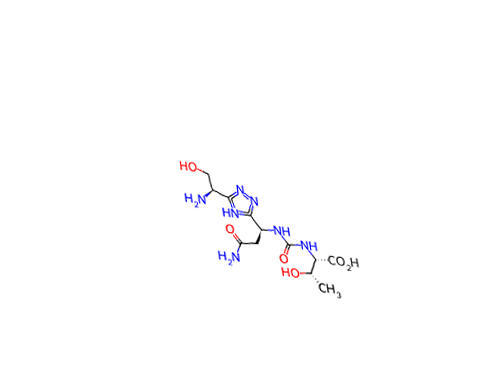 C[C@H](O)[C@H](NC(=O)N[C@@H](CC(N)=O)c1nnc([C@@H](N)CO)[nH]1)C(=O)O